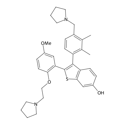 COc1ccc(OCCN2CCCC2)c(-c2sc3cc(O)ccc3c2-c2ccc(CN3CCCC3)c(C)c2C)c1